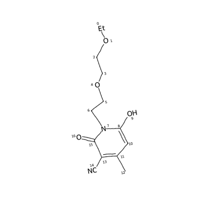 CCOCCOCCn1c(O)cc(C)c(C#N)c1=O